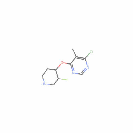 Cc1c(Cl)ncnc1OC1CCNCC1F